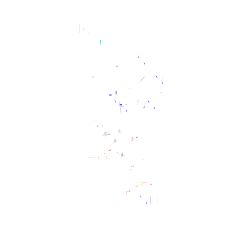 Nc1ncnc2c1c(SCC1CC1(F)F)nn2[C@@H]1O[C@H](COS(N)(=O)=O)[C@@H](O)[C@@H]1F